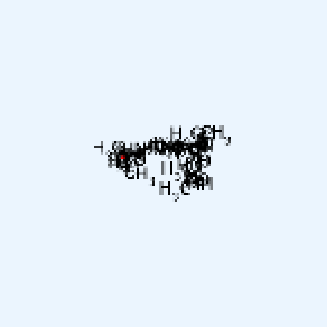 Cc1cc(C)c(CNC(=O)c2cc(-c3ccc(N4CCN(CCNC(=O)CC56C[C@@H]7C[C@@](C)(C5)C[C@](C)(C7)C6)CC4)nc3)cc3c2cnn3C(C)C)c(=O)[nH]1